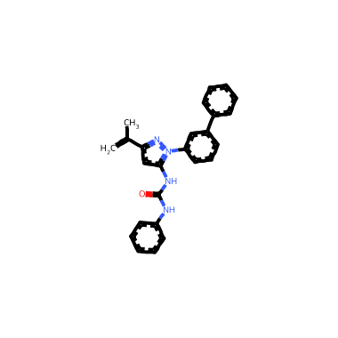 C=C(C)c1cc(NC(=O)Nc2ccccc2)n(-c2cccc(-c3ccccc3)c2)n1